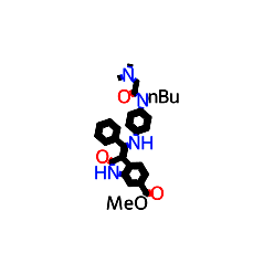 CCCCN(C(=O)CN(C)C)c1ccc(NC(=C2C(=O)Nc3cc(C(=O)OC)ccc32)c2ccccc2)cc1